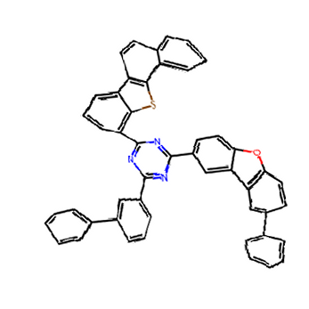 c1ccc(-c2cccc(-c3nc(-c4ccc5oc6ccc(-c7ccccc7)cc6c5c4)nc(-c4cccc5c4sc4c6ccccc6ccc54)n3)c2)cc1